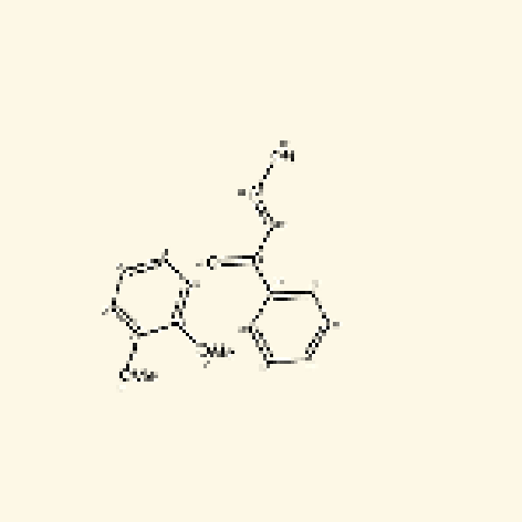 COc1ccccc1OC.O=C(C=NO)c1ccccc1